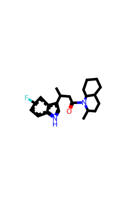 CC(CC(=O)N1C(C)CCC2CCCCC21)c1c[nH]c2ccc(F)cc12